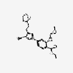 CCOC(=O)c1ccc(-n2cc(C#N)c(CCC3CCCO3)c2)cc1OCOC